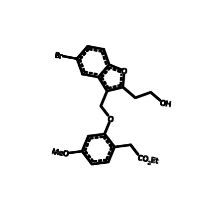 CCOC(=O)Cc1ccc(OC)cc1OCc1c(CCO)oc2ccc(Br)cc12